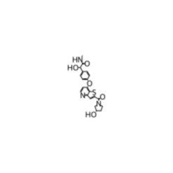 CNC(=O)C(O)c1ccc(Oc2ccnc3cc(C(=O)N4CCC(O)C4)sc23)cc1